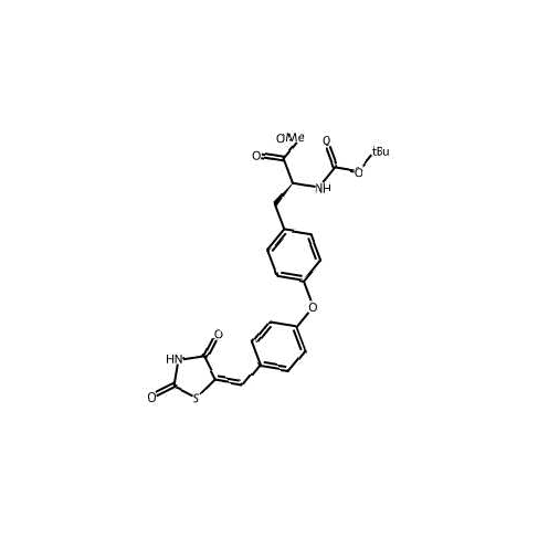 COC(=O)[C@H](Cc1ccc(Oc2ccc(C=C3SC(=O)NC3=O)cc2)cc1)NC(=O)OC(C)(C)C